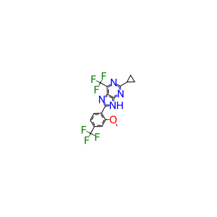 COc1cc(C(F)(F)F)ccc1-c1nc2c(C(F)(F)F)nc(C3CC3)nc2[nH]1